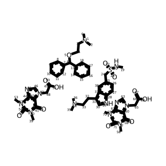 CN(C)CCOC(c1ccccc1)c1ccccc1.CNS(=O)(=O)Cc1ccc2[nH]cc(CCN(C)C)c2c1.Cn1c(=O)c2c(ncn2CC(=O)O)n(C)c1=O.Cn1c(=O)c2c(ncn2CC(=O)O)n(C)c1=O